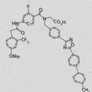 COc1ccc(CC(=O)Nc2ccc(C(=O)N(CC(=O)O)Cc3ccc(-c4noc(-c5ccc(-c6ccc(C)cc6)cc5)n4)cc3)c(F)c2)c(C(F)(F)F)c1